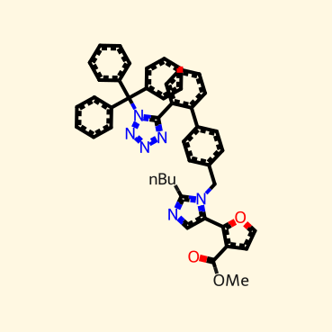 CCCCc1ncc(-c2occc2C(=O)OC)n1Cc1ccc(-c2ccccc2-c2nnnn2C(c2ccccc2)(c2ccccc2)c2ccccc2)cc1